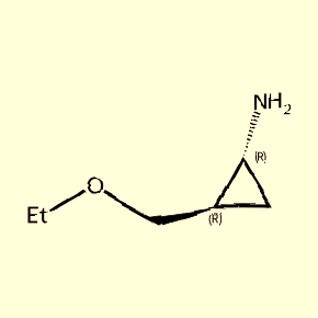 CCOC[C@@H]1C[C@H]1N